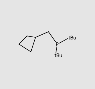 CC(C)(C)P(CC1CCC1)C(C)(C)C